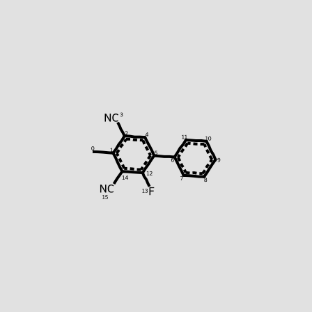 Cc1c(C#N)cc(-c2ccccc2)c(F)c1C#N